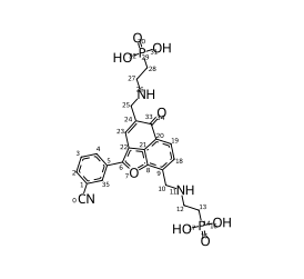 N#Cc1cccc(-c2oc3c(CNCCP(=O)(O)O)ccc4c3c2C=C(CNCCP(=O)(O)O)C4=O)c1